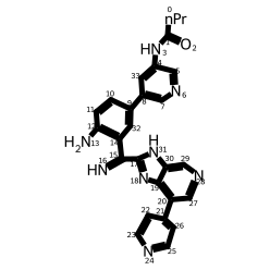 CCCC(=O)Nc1cncc(-c2ccc(N)c(C(=N)c3nc4c(-c5ccncc5)cncc4[nH]3)c2)c1